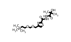 CC(C)(O)C(=O)NNC(=O)c1nc(COCOCC[Si](C)(C)C)cs1